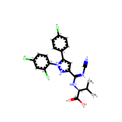 CC(C)[C@H](NC(=NC#N)c1cc(-c2ccc(Cl)cc2)n(-c2ccc(Cl)cc2Cl)n1)C(=O)O